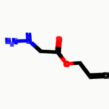 C=CCOC(=O)CNN